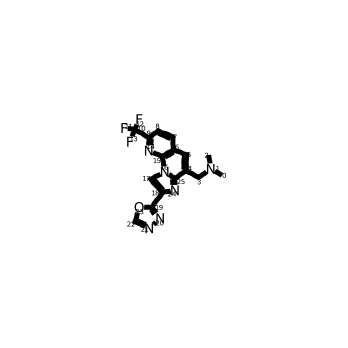 CN(C)Cc1cc2ccc(C(F)(F)F)nc2n2cc(-c3nnco3)nc12